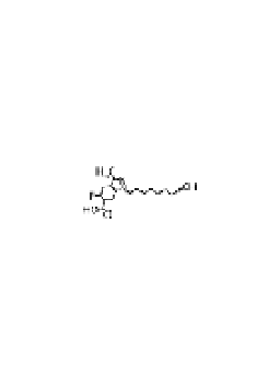 C#CCCCCCCCn1nc(C)c2cc(F)c(C(=O)O)cc21